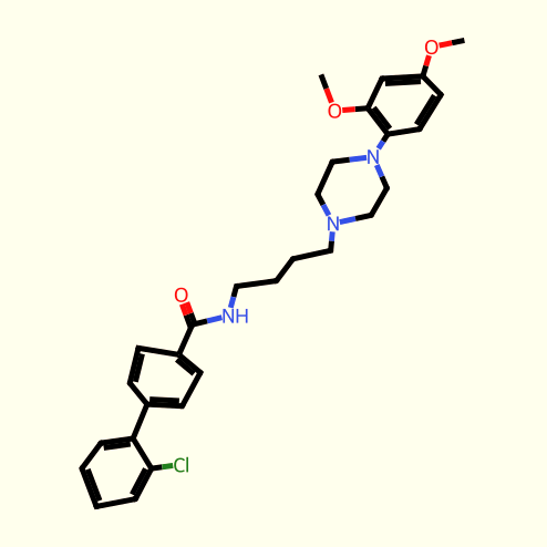 COc1ccc(N2CCN(CCCCNC(=O)c3ccc(-c4ccccc4Cl)cc3)CC2)c(OC)c1